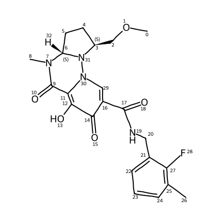 COC[C@@H]1CC[C@H]2N(C)C(=O)c3c(O)c(=O)c(C(=O)NCc4cccc(C)c4F)cn3N12